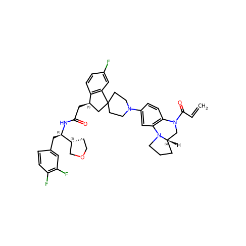 C=CC(=O)N1C[C@@H]2CCCN2c2cc(N3CCC4(CC3)C[C@@H](CC(=O)N[C@H](Cc3ccc(F)c(F)c3)[C@@H]3CCOC3)c3ccc(F)cc34)ccc21